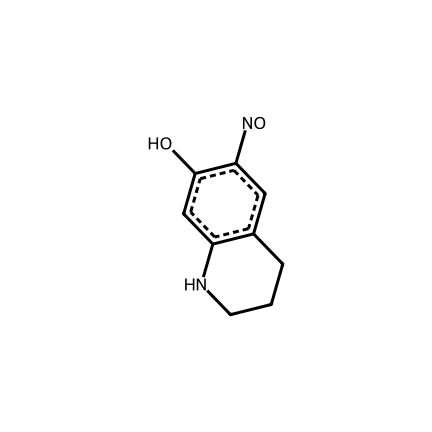 O=Nc1cc2c(cc1O)NCCC2